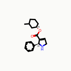 CC1CCC[C@H](OC(=O)C2=CCN[C@H]2c2ccccc2)C1